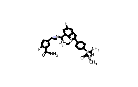 CCn1c(-c2ccc(-n3c(C)nn(C)c3=O)cc2)cc2cc(F)cc(C(=O)/N=C/Cc3ccc(F)c(C(N)=O)c3)c21